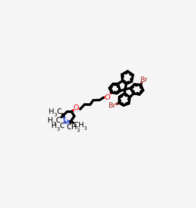 CN1C(C)(C)CC(OCCCCCCOc2ccc3c(c2)C2(c4ccccc4-3)c3cc(Br)ccc3-c3ccc(Br)cc32)CC1(C)C